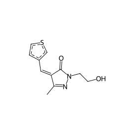 CC1=NN(CCO)C(=O)C1=Cc1ccsc1